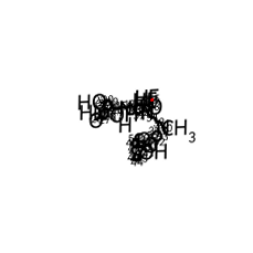 CN(CCCCn1c(=O)oc2cc(CNC[C@H](O)c3ccc(O)c4[nH]c(=O)ccc34)ccc21)[C@H]1CC[C@H](OC(=O)C(O)(c2cccs2)c2cccs2)CC1.F.F